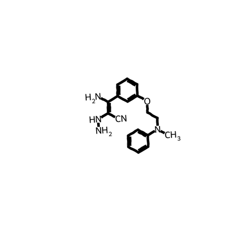 CN(CCOc1cccc(/C(N)=C(\C#N)NN)c1)c1ccccc1